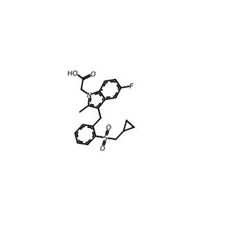 Cc1c(Cc2ccccc2S(=O)(=O)CC2CC2)c2cc(F)ccc2n1CC(=O)O